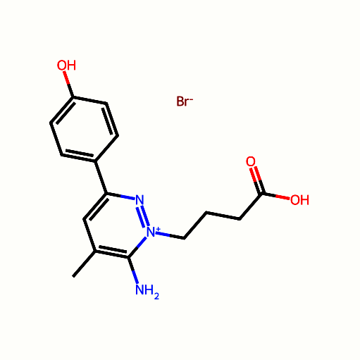 Cc1cc(-c2ccc(O)cc2)n[n+](CCCC(=O)O)c1N.[Br-]